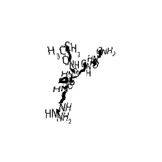 CC(C)CC(=O)NCC(=O)N[C@@H](CSCCCC(=O)NCC(=O)NCC(N)=O)C(=O)N1CCC[C@H]1C(=O)NCCCCNC(=N)N